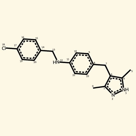 Cc1n[nH]c(C)c1Cc1ccc(NCc2ccc(Cl)cc2)cc1